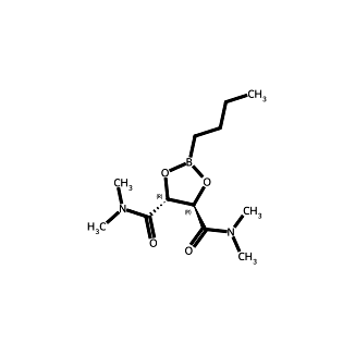 CCCCB1O[C@@H](C(=O)N(C)C)[C@H](C(=O)N(C)C)O1